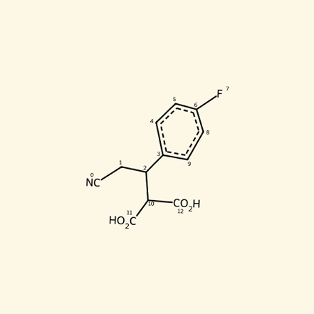 N#CCC(c1ccc(F)cc1)C(C(=O)O)C(=O)O